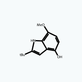 COc1ccc(O)c2cc(C(C)(C)C)[nH]c12